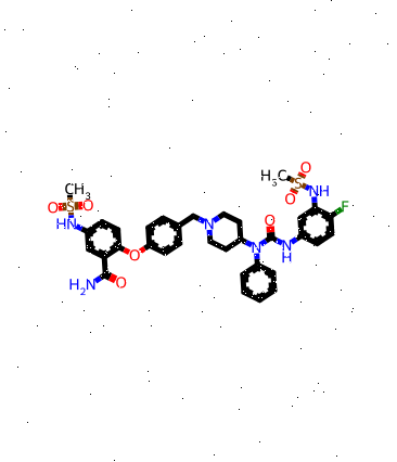 CS(=O)(=O)Nc1ccc(Oc2ccc(CN3CCC(N(C(=O)Nc4ccc(F)c(NS(C)(=O)=O)c4)c4ccccc4)CC3)cc2)c(C(N)=O)c1